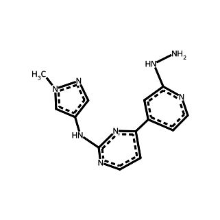 Cn1cc(Nc2nccc(-c3ccnc(NN)c3)n2)cn1